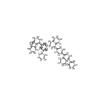 c1ccc(-c2nc(-c3cc(-c4ccc(-c5ccc6c7c(cccc57)-c5ccccc5-6)cc4)c4ccccc4c3)nc(-c3cccc4oc5ccccc5c34)n2)cc1